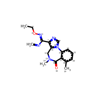 C=N/C(=N\OCC)c1ncn2c1CN(C)C(=O)c1c(C)cccc1-2